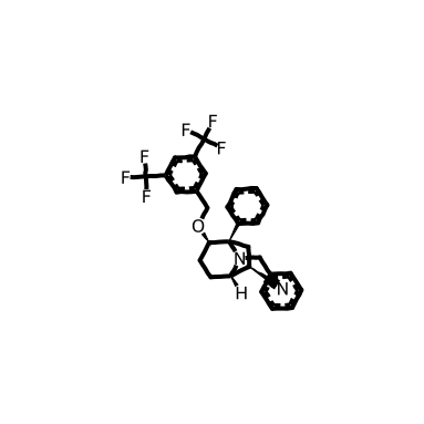 N#C[C@@H]1C[C@@]2(c3ccccc3)[C@H](OCc3cc(C(F)(F)F)cc(C(F)(F)F)c3)CC[C@@H]1N2Cc1ccccc1